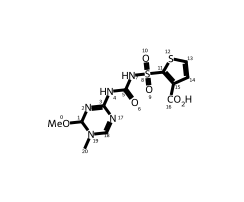 COC1N=C(NC(=O)NS(=O)(=O)c2sccc2C(=O)O)N=CN1C